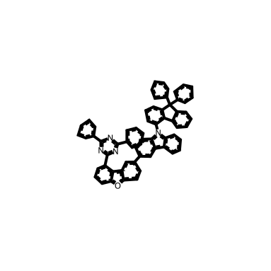 c1ccc(-c2nc(-c3ccccc3)nc(-c3cccc4oc5ccc(-c6ccc7c(c6)c6ccccc6n7-c6cccc7c6-c6ccccc6C7(c6ccccc6)c6ccccc6)cc5c34)n2)cc1